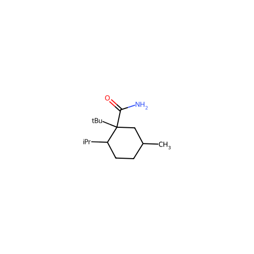 CC1CCC(C(C)C)C(C(N)=O)(C(C)(C)C)C1